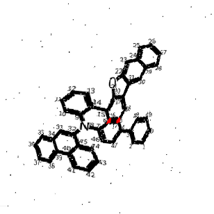 c1ccc(-c2ccc(N(c3ccccc3-c3cccc4c3oc3cc5ccccc5cc34)c3cc4ccccc4c4ccccc34)cc2)cc1